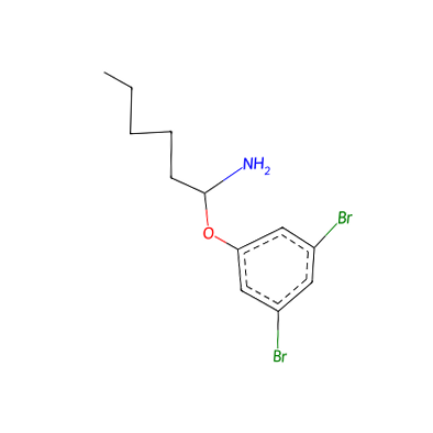 CCCCCC(N)Oc1cc(Br)cc(Br)c1